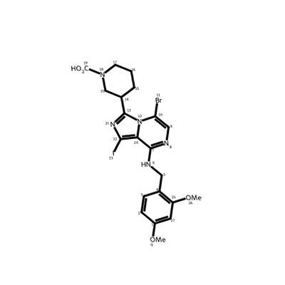 COc1ccc(CNc2ncc(Br)n3c(C4CCCN(C(=O)O)C4)nc(I)c23)c(OC)c1